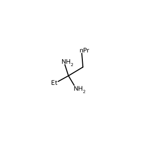 CCCCC(N)(N)CC